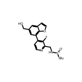 CC(C)(C)[S+]([O-])NCc1nccc(-c2cc(CO)cc3ccoc23)c1F